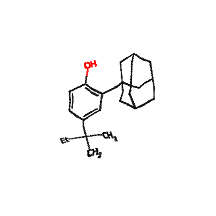 CCC(C)(C)c1ccc(O)c(C23CC4CC(CC(C4)C2)C3)c1